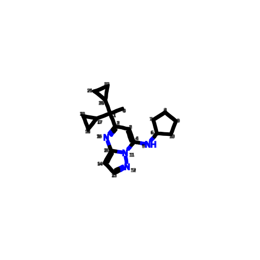 CC(c1cc(NC2CCCC2)n2nccc2n1)(C1CC1)C1CC1